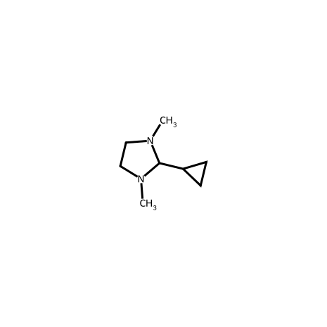 CN1CCN(C)C1C1CC1